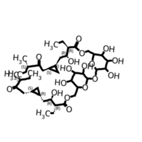 CC[C@H](C)C(=O)C[C@@H]1C[C@@H]1C[C@@H](O)[C@@H](CC)C(=O)OCC1OC(OC2OC(COC(=O)[C@H](CC)[C@H](O)C[C@H]3C[C@H]3CC(=O)[C@@H](C)CC)C(O)C(O)C2O)C(O)C(O)C1O